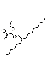 CCCCCCCCC(CCCCCC)COC(OCC)C(=O)O